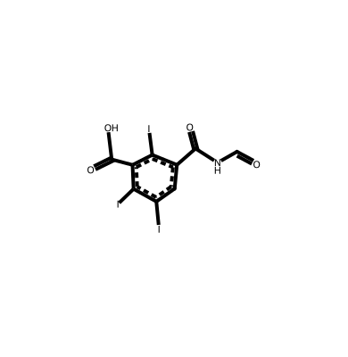 O=CNC(=O)c1cc(I)c(I)c(C(=O)O)c1I